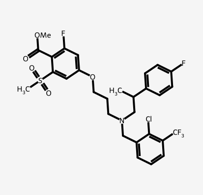 COC(=O)c1c(F)cc(OCCCN(Cc2cccc(C(F)(F)F)c2Cl)CC(C)c2ccc(F)cc2)cc1S(C)(=O)=O